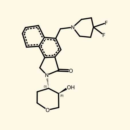 O=C1c2cc(CN3CCC(F)(F)CC3)c3ccccc3c2CN1[C@H]1CCOC[C@@H]1O